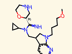 COCCCCN1CC(CN(C(=N)[C@H]2CNCCO2)C2CC2)c2cccnc21